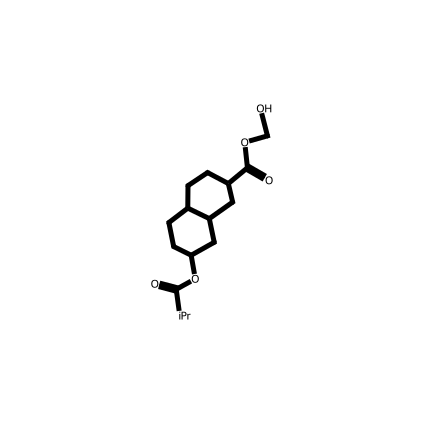 CC(C)C(=O)OC1CCC2CCC(C(=O)OCO)CC2C1